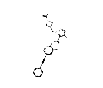 CC(=O)N1CC(Cn2ncc(Cl)c2C(=O)Nc2ncc(C#Cc3ccccc3)cc2F)C1